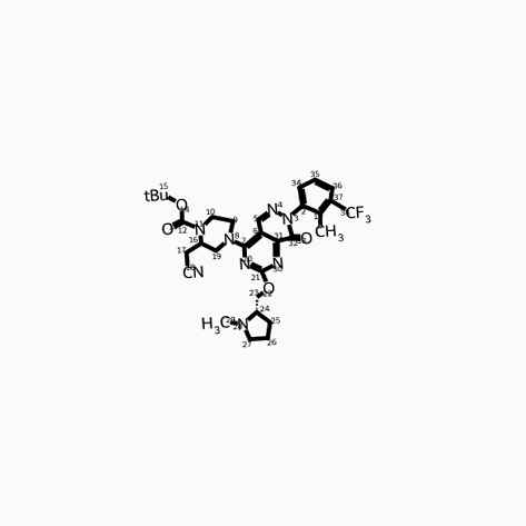 Cc1c(-n2ncc3c(N4CCN(C(=O)OC(C)(C)C)C(CC#N)C4)nc(OC[C@@H]4CCCN4C)nc3c2=O)cccc1C(F)(F)F